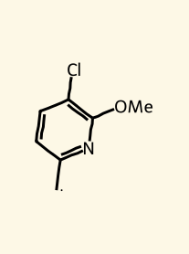 [CH2]c1ccc(Cl)c(OC)n1